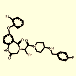 CCc1ccccc1Oc1ccc2c(c1)C(=O)N(C(C(=O)N1CCC(NCc3ccc(F)cc3)CC1)C(C)C)CC(=O)N2